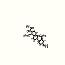 COc1c(C(=O)NC(C)C)ccc2c(OC)c(-c3ccc(NC(C)C)cc3F)ccc12